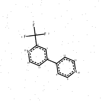 FC(F)(F)c1cc(-c2ccncc2)ccn1